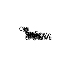 COc1cnc(-n2c(=S)[nH]c3cc(C(=O)NCc4cccc(Cl)c4)c(Cl)cc3c2=O)nc1OC